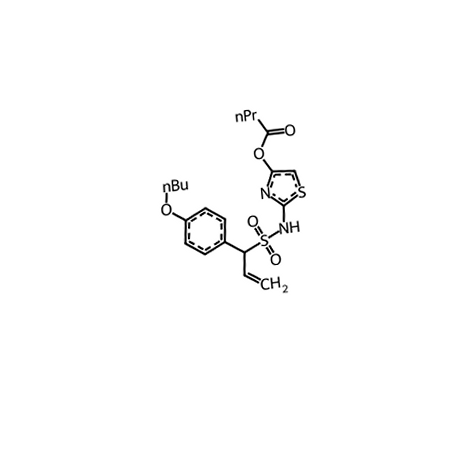 C=CC(c1ccc(OCCCC)cc1)S(=O)(=O)Nc1nc(OC(=O)CCC)cs1